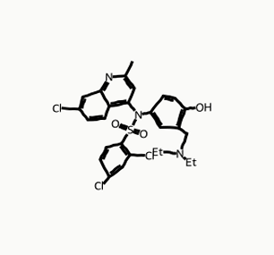 CCN(CC)Cc1cc(N(c2cc(C)nc3cc(Cl)ccc23)S(=O)(=O)c2ccc(Cl)cc2Cl)ccc1O